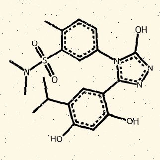 Cc1ccc(-n2c(O)nnc2-c2cc(C(C)C)c(O)cc2O)cc1S(=O)(=O)N(C)C